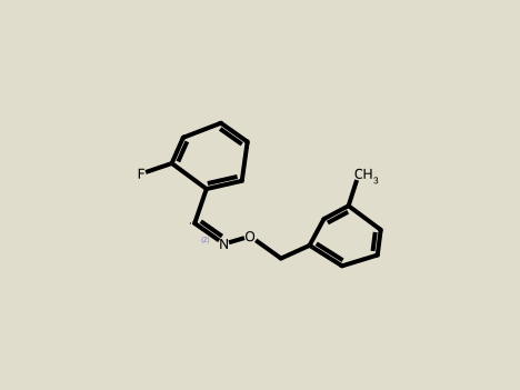 Cc1cccc(CO/N=[C]\c2ccccc2F)c1